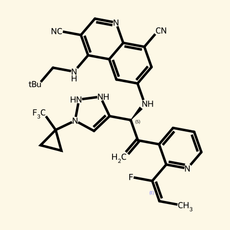 C=C(c1cccnc1/C(F)=C\C)[C@H](Nc1cc(C#N)c2ncc(C#N)c(NCC(C)(C)C)c2c1)C1=CN(C2(C(F)(F)F)CC2)NN1